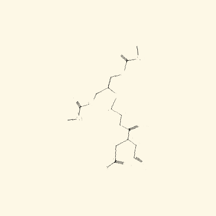 CNC(=O)OCC(COC(=O)NC)OCCCC(=O)C(CC=O)CC(C)=O